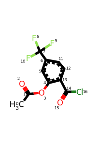 CC(=O)Oc1cc(C(F)(F)F)ccc1C(=O)Cl